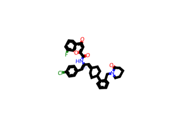 O=C(N/C(C=C1CCC(c2ccccc2CN2CCCCC2=O)CC1)=C\c1ccc(Cl)cc1)c1cc(=O)c2cccc(F)c2o1